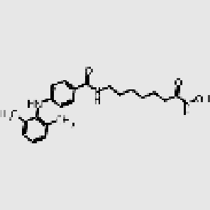 Cc1cccc(C)c1Nc1ccc(C(=O)NCCCCCCC(=O)NO)cc1